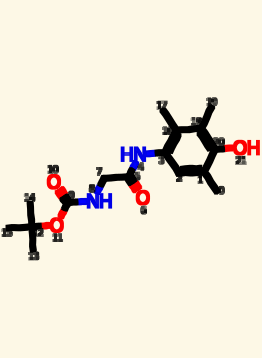 Cc1cc(NC(=O)CNC(=O)OC(C)(C)C)c(C)c(C)c1O